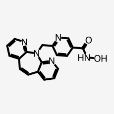 O=C(NO)c1ccc(CN2c3ncccc3C=Cc3cccnc32)nc1